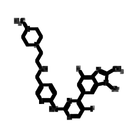 Cc1nc2c(F)cc(-c3nc(Nc4ccc(CNCCN5CCN(C)CC5)cn4)ncc3F)cc2n1C(C)C